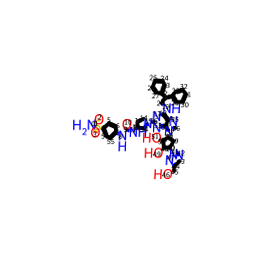 NS(=O)(=O)c1ccc(NC(=O)N[C@@H]2CCN(c3nc(NCC(c4ccccc4)c4ccccc4)c4ncn([C@@H]5C[C@H](n6ncc(CO)n6)[C@@H](O)[C@H]5O)c4n3)C2)cc1